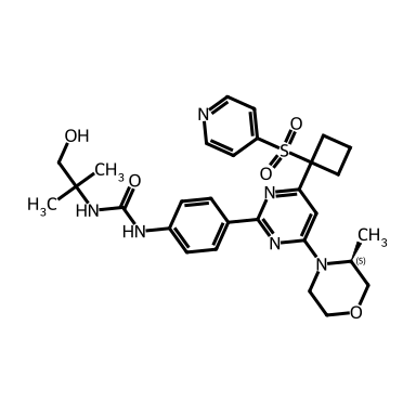 C[C@H]1COCCN1c1cc(C2(S(=O)(=O)c3ccncc3)CCC2)nc(-c2ccc(NC(=O)NC(C)(C)CO)cc2)n1